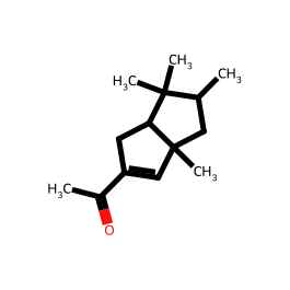 CC(=O)C1=CC2(C)CC(C)C(C)(C)C2C1